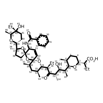 CCC(C(=O)O)[C@H]1CC[C@H](C)[C@H]([C@@H](C)[C@H](O)[C@H](C)C(=O)[C@H](CC)[C@H]2O[C@]3(C=CC(NC(=O)c4ccccc4)[C@]4(CC[C@@](C)([C@H]5CC[C@](O)(CC)[C@H](C)O5)O4)O3)[C@H](C)C[C@@H]2C)O1